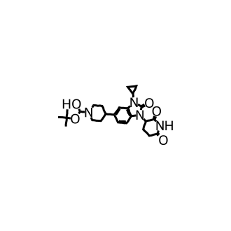 CC(C)(C)OC(O)N1CCC(c2ccc3c(c2)n(C2CC2)c(=O)n3C2CCC(=O)NC2=O)CC1